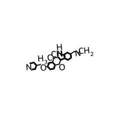 C=NCc1ccc2c3c([nH]c2c1)C(C)(C)c1cc(OCc2ccncc2)ccc1C3=O